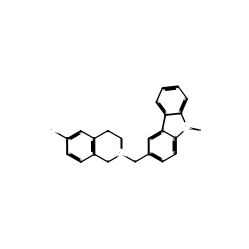 CCn1c2ccccc2c2cc(CN3CCc4cc(N)ccc4C3)ccc21